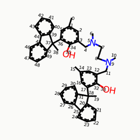 Cc1cc(CN(C)CCN(C)Cc2cc(C)cc(C3(C)c4ccccc4-c4ccccc43)c2O)c(O)c(C2(C)c3ccccc3-c3ccccc32)c1